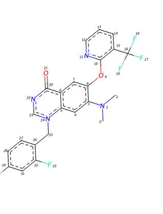 CN(C)c1cc2c(cc1Oc1ncccc1C(F)(F)F)c(=O)ncn2Cc1ccc(F)cc1F